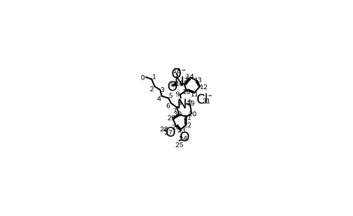 CCCCCCCC1=[N+](Cc2ccccc2[N+](=O)[O-])CCc2cc(OC)c(OC)cc21.[Cl-]